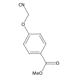 [C-]#[N+]COc1ccc(C(=O)OC)cc1